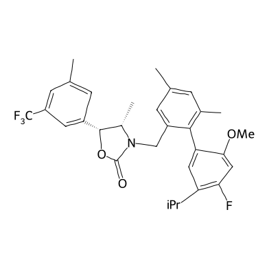 COc1cc(F)c(C(C)C)cc1-c1c(C)cc(C)cc1CN1C(=O)O[C@H](c2cc(C)cc(C(F)(F)F)c2)[C@@H]1C